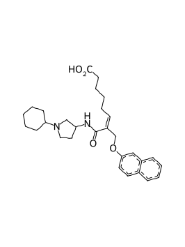 O=C(O)CCCCC=C(COc1ccc2ccccc2c1)C(=O)NC1CCN(C2CCCCC2)C1